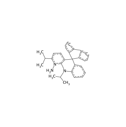 CC(C)c1ccc2c([n+]1N)N(C(C)C)c1ccccc1C21c2ccccc2-c2ccccc21